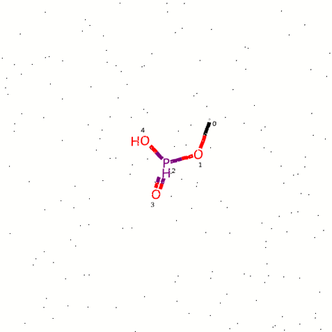 [CH2]O[PH](=O)O